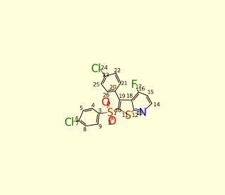 O=S(=O)(c1ccc(Cl)cc1)c1sc2nccc(F)c2c1-c1ccc(Cl)cc1